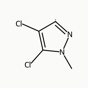 Cn1n[c]c(Cl)c1Cl